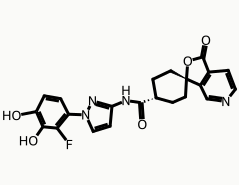 O=C1O[C@]2(CC[C@@H](C(=O)Nc3ccn(-c4ccc(O)c(O)c4F)n3)CC2)c2cnccc21